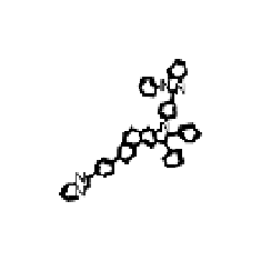 C1=CC2=NC(c3ccc(-c4ccc5c(ccc6cc7c(cc65)c(-c5ccccc5)c(-c5ccccc5)n7-c5ccc(-c6nc7ccccc7n6-c6ccccc6)cc5)c4)cc3)CN2C=C1